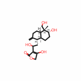 C=C1CC[C@@H]2[C@](C)(CO)[C@H](O)CC[C@@]2(C)[C@@H]1CC(O)C1=C(O)COC1=O